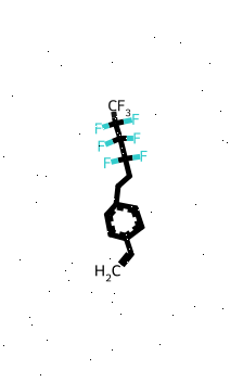 C=Cc1ccc(CCC(F)(F)C(F)(F)C(F)(F)C(F)(F)F)cc1